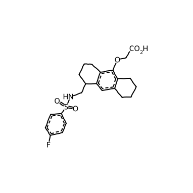 O=C(O)COc1c2c(cc3c1CCCC3CNS(=O)(=O)c1ccc(F)cc1)CCCC2